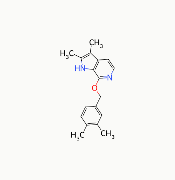 Cc1ccc(COc2nccc3c(C)c(C)[nH]c23)cc1C